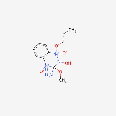 CCCO[N+]1([O-])c2ccccc2[NH+]([O-])C(N)(OC)N1O